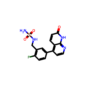 NS(=O)(=O)NCc1cc(-c2ccnc3[nH]c(=O)ccc23)ccc1F